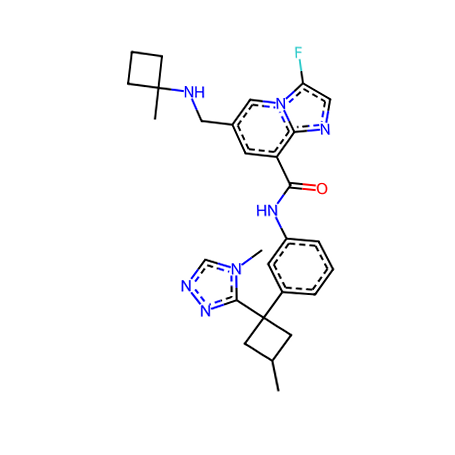 CC1CC(c2cccc(NC(=O)c3cc(CNC4(C)CCC4)cn4c(F)cnc34)c2)(c2nncn2C)C1